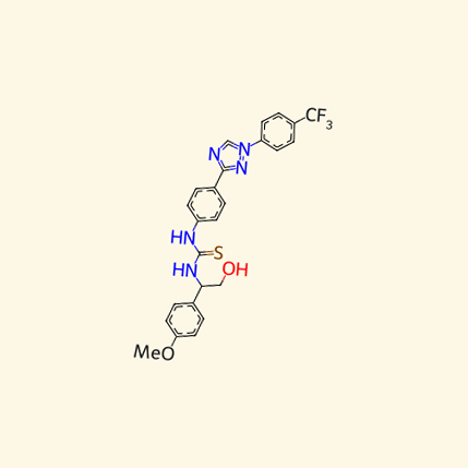 COc1ccc(C(CO)NC(=S)Nc2ccc(-c3ncn(-c4ccc(C(F)(F)F)cc4)n3)cc2)cc1